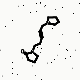 O=C1CCCN1CCC#CCN1CCCC1